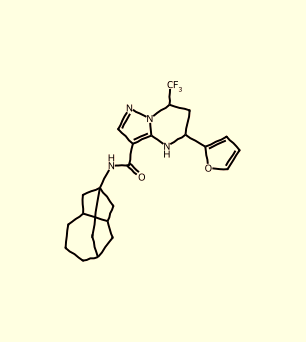 O=C(NC12CC3CCCC(C1)C(C3)C2)c1cnn2c1NC(c1ccco1)CC2C(F)(F)F